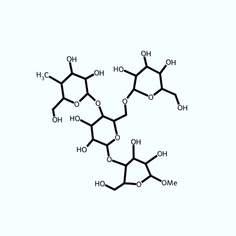 COC1OC(CO)C(OC2OC(COC3OC(CO)C(O)C(O)C3O)C(OC3OC(CO)C(C)C(O)C3O)C(O)C2O)C(O)C1O